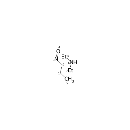 CCCN=O.CCNCC